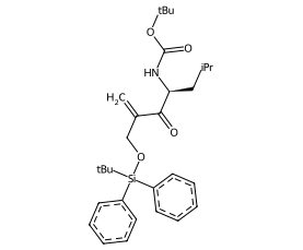 C=C(CO[Si](c1ccccc1)(c1ccccc1)C(C)(C)C)C(=O)[C@H](CC(C)C)NC(=O)OC(C)(C)C